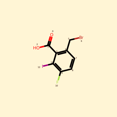 O=C(O)c1c(CBr)ccc(F)c1I